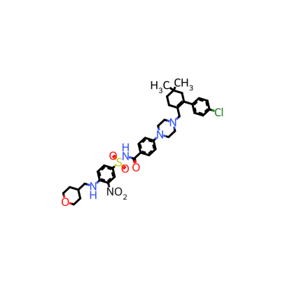 CC1(C)CCC(CN2CCN(c3ccc(C(=O)NS(=O)(=O)c4ccc(NCC5CCOCC5)c([N+](=O)[O-])c4)cc3)CC2)=C(c2ccc(Cl)cc2)C1